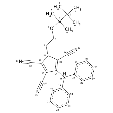 CC(C)(C)[Si](C)(C)OCCC1C(C#N)=C(C#N)C([SH](c2ccccc2)c2ccccc2)=C1C#N